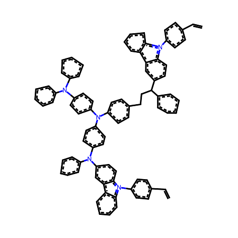 C=Cc1ccc(-n2c3ccccc3c3cc(C(CCc4ccc(N(c5ccc(N(c6ccccc6)c6ccccc6)cc5)c5ccc(N(c6ccccc6)c6ccc7c(c6)c6ccccc6n7-c6ccc(C=C)cc6)cc5)cc4)c4ccccc4)ccc32)cc1